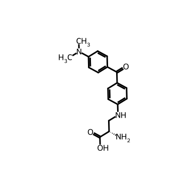 CN(C)c1ccc(C(=O)c2ccc(NC[C@H](N)C(=O)O)cc2)cc1